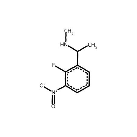 CNC(C)c1cccc([N+](=O)[O-])c1F